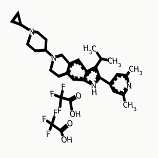 Cc1cc(-c2[nH]c3cc4c(cc3c2C(C)C)CN(C2CCN(C3CC3)CC2)CC4)cc(C)n1.O=C(O)C(F)(F)F.O=C(O)C(F)(F)F